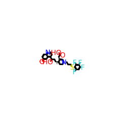 COc1ccc2nccc(C(O)CC[C@@H]3CCN(CCCSc4c(F)cc(F)c(F)c4F)C[C@@H]3CC(=O)O)c2c1